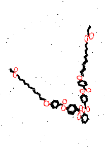 C=CC(=O)OCCCCCCCCCCCOc1ccc(C(=O)Oc2ccc(C(=O)O[C@@H]3CCCC[C@H]3OC(=O)c3ccc(OC(=O)c4ccc(OCCCCCCCCCCCOC(=O)C=C)cc4)cc3)cc2)cc1